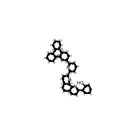 Oc1ccccc1-c1ccc2ccc3ccc(-c4cccc(-c5ccc6c7ccccc7c7ccccc7c6c5)n4)nc3c2n1